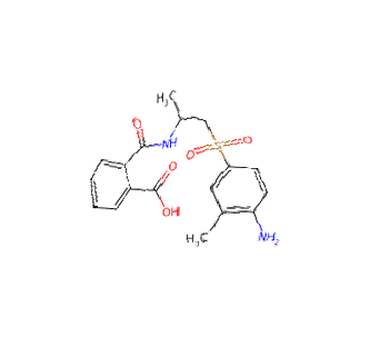 Cc1cc(S(=O)(=O)CC(C)NC(=O)c2ccccc2C(=O)O)ccc1N